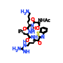 CC(=O)N[C@@H](CO)C(=O)N[C@@H](CCCCN)C(=O)NC(CC(C)C)C(=O)N[C@@H](CCCNC(=N)N)C(=O)c1nc2ccccc2s1